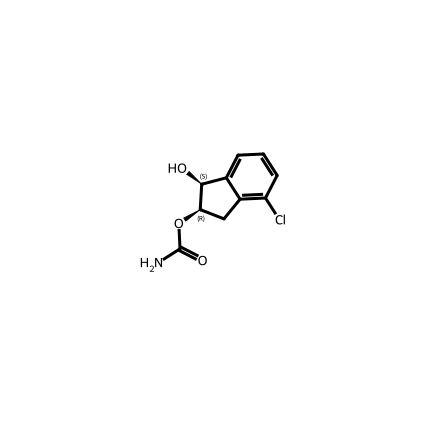 NC(=O)O[C@@H]1Cc2c(Cl)cccc2[C@@H]1O